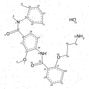 COc1cc(C(=O)N(C)c2ccccc2C)ccc1NC(=O)c1ccccc1OCCCN.Cl